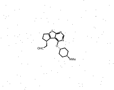 CN[C@H]1CC[C@H](Oc2ncnc3sc4c(c23)[C@@H](CC=O)CC4)CC1